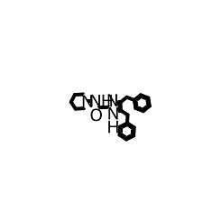 O=C(NN1CCCCC1)c1nc(Cc2ccccc2)c(Cc2ccccc2)[nH]1